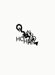 Cl.O=C(NC1CC1)N(S)c1ncnc2c1cnn2CCN1CCCCCC1